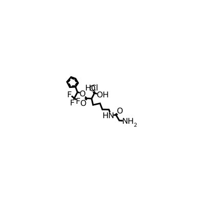 Cl.NCC(=O)NCCCCC(C(=O)O)C(=O)OC(c1ccccc1)C(F)(F)F